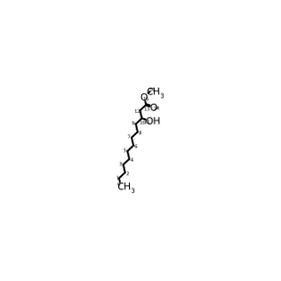 CCCCCCCCCCC(O)CC(=O)OC